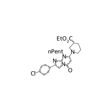 CCCCCn1c(N2CCC[C@H](C(=O)OCC)C2)cc(=O)n2cc(-c3ccc(Cl)cc3)nc12